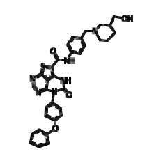 O=C(Nc1ccc(CN2CCCC(CO)C2)cc1)c1sc2ncnc3c2c1NC(=O)N3c1ccc(Oc2ccccc2)cc1